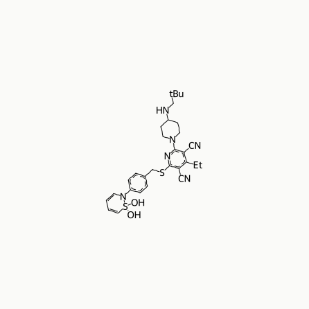 CCc1c(C#N)c(SCc2ccc(N3C=CC=CS3(O)O)cc2)nc(N2CCC(NCC(C)(C)C)CC2)c1C#N